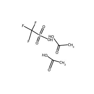 CC(=O)O.CC(=O)O.O=S(=O)(O)C(F)(F)F